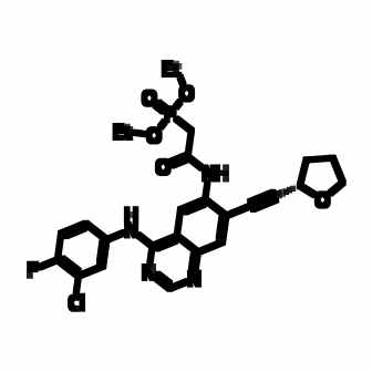 CCOP(=O)(CC(=O)Nc1cc2c(Nc3ccc(F)c(Cl)c3)ncnc2cc1C#C[C@@H]1CCCO1)OCC